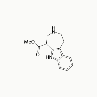 COC(=O)C1CNCCc2c1[nH]c1ccccc21